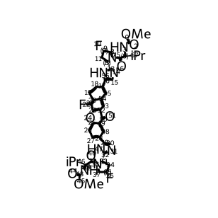 COC(=O)N[C@H](C(=O)N1C[C@H](F)C[C@H]1c1ncc(-c2ccc3c(F)c4oc5ccc(-c6cnc([C@@H]7C[C@@H](F)CN7C(=O)[C@@H](NC(=O)OC)C(C)C)[nH]6)cc5c(=O)c4cc3c2)[nH]1)C(C)C